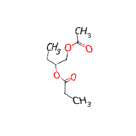 CCC(=O)OC(CC)COC(C)=O